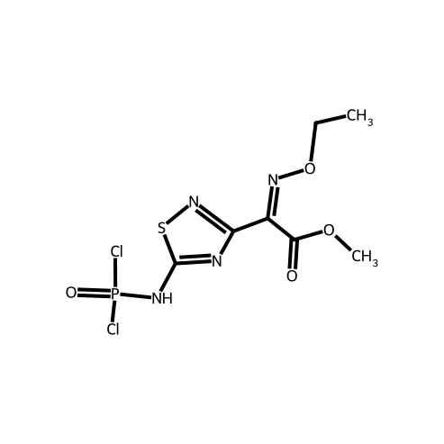 CCON=C(C(=O)OC)c1nsc(NP(=O)(Cl)Cl)n1